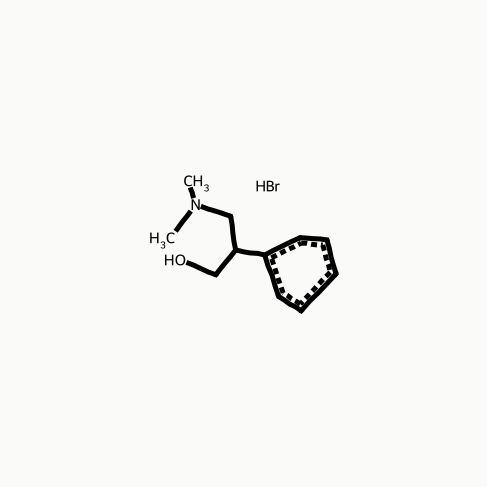 Br.CN(C)CC(CO)c1ccccc1